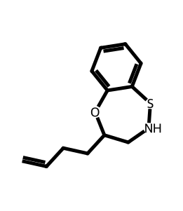 C=CCCC1CNSc2ccccc2O1